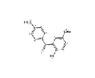 COc1ccc(O)c(C(=O)c2ccc(C(=O)O)cc2)c1